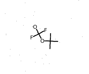 CC(C)(C)OC([O])(F)F